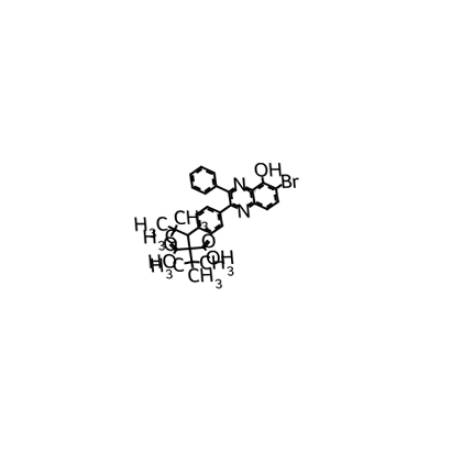 CC(C)(C)C(c1ccc(-c2nc3ccc(Br)c(O)c3nc2-c2ccccc2)cc1)C(C(=O)O)(C(=O)O)C(C)(C)C